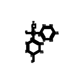 CC1C=CC([Si](C)(Cl)c2ccccc2)=CC1